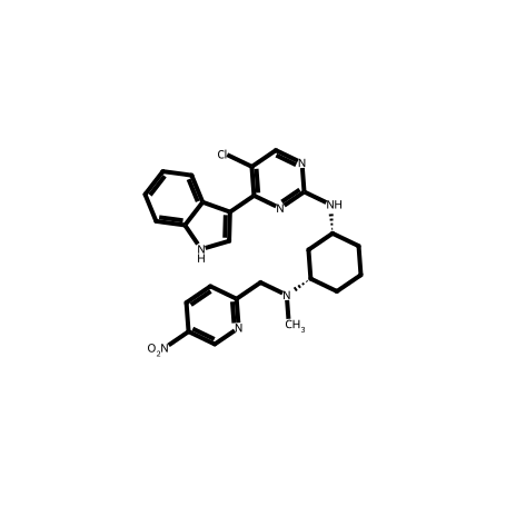 CN(Cc1ccc([N+](=O)[O-])cn1)[C@H]1CCC[C@@H](Nc2ncc(Cl)c(-c3c[nH]c4ccccc34)n2)C1